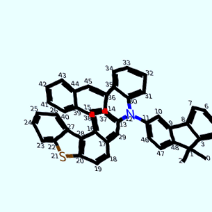 CC1(C)c2ccccc2-c2cc(N(c3ccc4c(ccc5sc6ccccc6c54)c3)c3ccccc3-c3ccc4ccccc4c3)ccc21